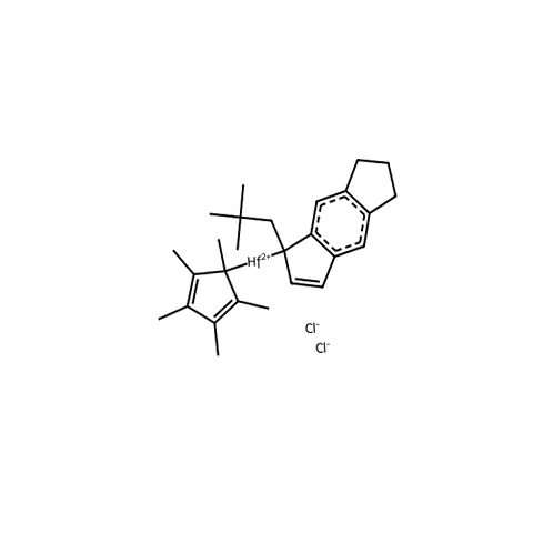 CC1=C(C)[C](C)([Hf+2][C]2(CC(C)(C)C)C=Cc3cc4c(cc32)CCC4)C(C)=C1C.[Cl-].[Cl-]